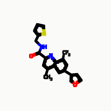 Cc1cc(C(=O)NCc2cccs2)nc2c(C(F)(F)F)cc(-c3ccoc3)cc12